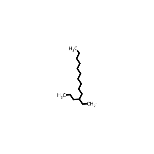 [CH2]CC(CCC)CCCCCCCCCC